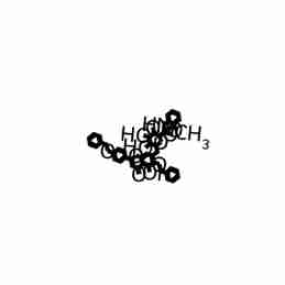 COc1ccccc1NC(=O)C1OC(Cc2cc3oc(-c4ccc(OCc5ccccc5)cc4)cc(=O)c3c(O)c2OCc2ccccc2)C(O)C(O)C1O